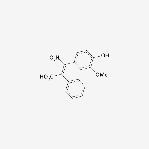 COc1cc(C(=C(C(=O)O)c2ccccc2)[N+](=O)[O-])ccc1O